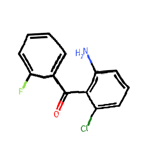 Nc1cccc(Cl)c1C(=O)c1ccccc1F